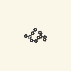 c1ccc(-c2ccc(-c3cc(-c4ccccc4)nc(-c4cccc(-c5cccc(-c6ccc7c(c6)nc(-c6cccc8ccccc68)c6oc8ccccc8c67)c5)c4)n3)cc2)cc1